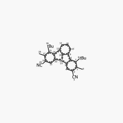 Cc1c(C#N)cc2c(c1C(C)(C)C)c1cccc3c4c(C(C)(C)C)c(C)c(C#N)cc4n2c13